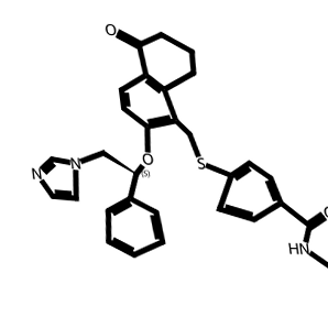 C=CCNC(=O)c1ccc(SCc2c(O[C@H](Cn3ccnc3)c3ccccc3)ccc3c2CCCC3=O)cc1